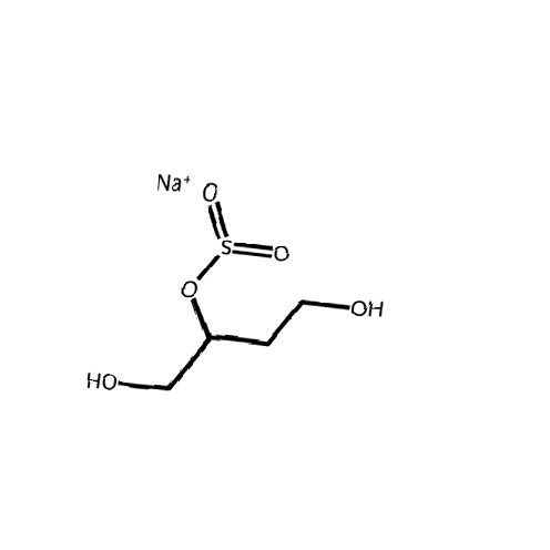 O=[S-](=O)OC(CO)CCO.[Na+]